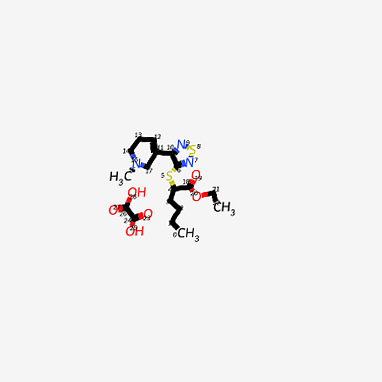 CCCCC(Sc1nsnc1C1=CCCN(C)C1)C(=O)OCC.O=C(O)C(=O)O